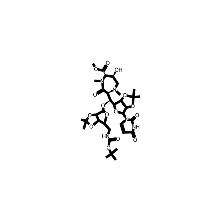 COC(=O)[C@@H]1[C@@H](O)CN(C)[C@@H]([C@H](OC2OC(CNC(=O)OC(C)(C)C)C3OC(C)(C)OC23)C2OC(n3ccc(=O)[nH]c3=O)C3OC(C)(C)OC32)C(=O)N1C